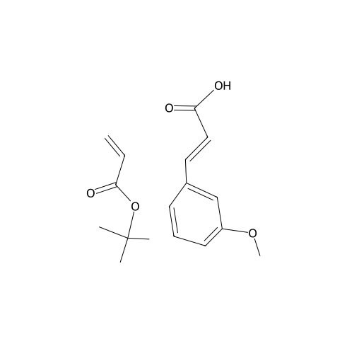 C=CC(=O)OC(C)(C)C.COc1cccc(C=CC(=O)O)c1